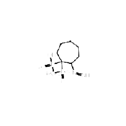 N=NC1CCCCCC1(P(=O)(O)O)P(=O)(O)O